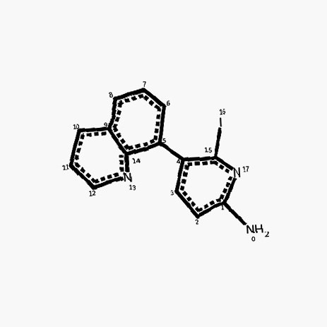 Nc1ccc(-c2cccc3cccnc23)c(I)n1